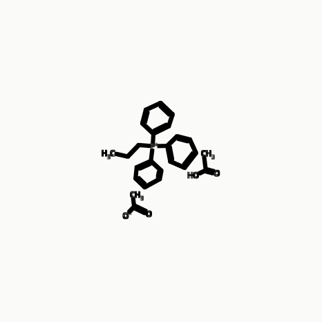 CC(=O)O.CC(=O)[O-].CCC[P+](c1ccccc1)(c1ccccc1)c1ccccc1